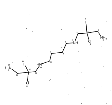 NCC(F)(Cl)CNCCCCNCC(F)(Cl)CN